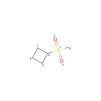 [CH2]S(=O)(=O)C1CCC1